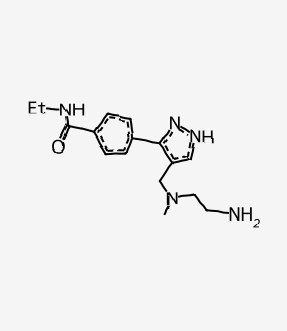 CCNC(=O)c1ccc(-c2n[nH]cc2CN(C)CCN)cc1